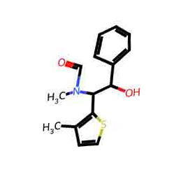 Cc1ccsc1C(C(O)c1ccccc1)N(C)C=O